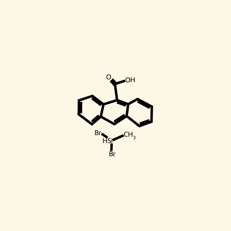 C[SiH](Br)Br.O=C(O)c1c2ccccc2cc2ccccc12